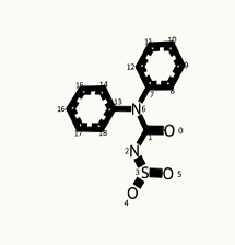 O=C(N=S(=O)=O)N(c1ccccc1)c1ccccc1